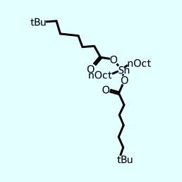 CCCCCCC[CH2][Sn]([CH2]CCCCCCC)([O]C(=O)CCCCCC(C)(C)C)[O]C(=O)CCCCCC(C)(C)C